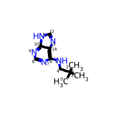 CC(C)(C)CNc1ncnc2[nH]cnc12